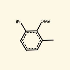 COc1c(C)cccc1C(C)C